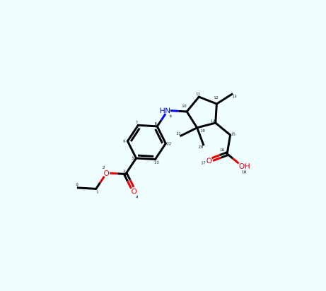 CCOC(=O)c1ccc(NC2CC(C)C(CC(=O)O)C2(C)C)cc1